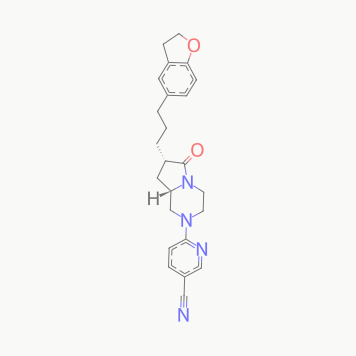 N#Cc1ccc(N2CCN3C(=O)[C@@H](CCCc4ccc5c(c4)CCO5)C[C@H]3C2)nc1